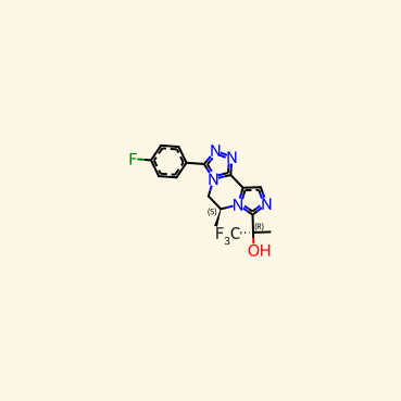 C[C@H]1Cn2c(-c3ccc(F)cc3)nnc2-c2cnc([C@@](C)(O)C(F)(F)F)n21